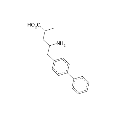 C[C@H](CC(N)Cc1ccc(-c2ccccc2)cc1)C(=O)O